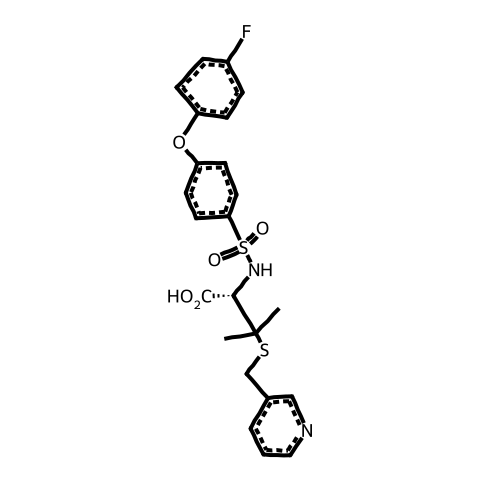 CC(C)(SCc1cccnc1)[C@@H](NS(=O)(=O)c1ccc(Oc2ccc(F)cc2)cc1)C(=O)O